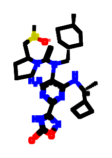 C=C(N(C[C@H]1CC[C@H](C)CC1)c1c(N)nc(-c2noc(=O)[nH]2)nc1N[C@H](C)C1CCC1)N1CCCC1C[S+](C)[O-]